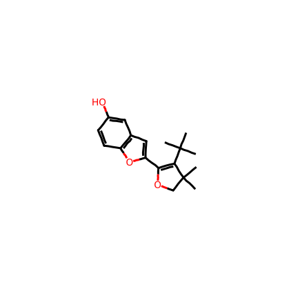 CC(C)(C)C1=C(c2cc3cc(O)ccc3o2)OCC1(C)C